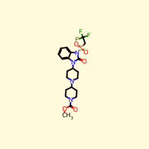 COC(=O)N1CCC(N2CCC(n3c(=O)n(S(=O)(=O)CC(F)(F)F)c4ccccc43)CC2)CC1